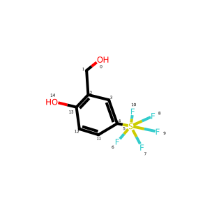 OCc1cc(S(F)(F)(F)(F)F)ccc1O